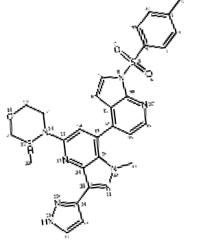 Cc1ccc(S(=O)(=O)n2ccc3c(-c4cc(N5CCOC[SH]5C)nc5c(-c6cc[nH]n6)nn(C)c45)ccnc32)cc1